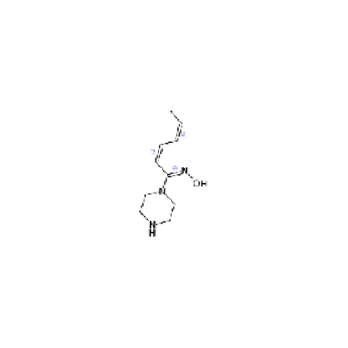 C\C=C/C=C\C(=N\O)N1CCNCC1